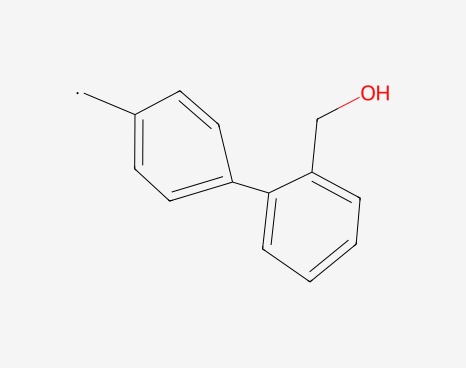 [CH2]c1ccc(-c2ccccc2CO)cc1